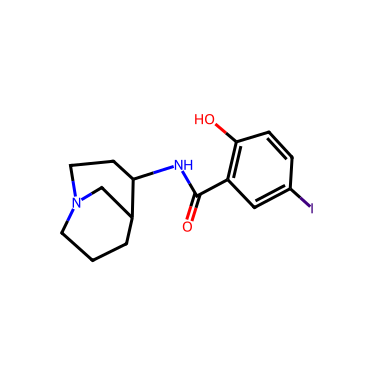 O=C(NC1CCN2CCCC1C2)c1cc(I)ccc1O